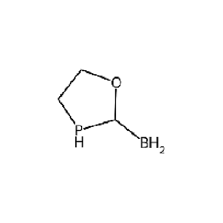 BC1OCCP1